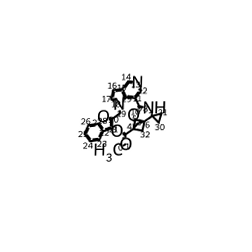 COC(=O)C12CC(C3(NC(=O)c4cncc5ccn(Cc6cc7ccccc7o6)c45)CC3)(C1)C2